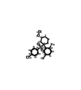 CCO[C@@H]1CCC[C@](c2cc(F)ccc2F)(S(=O)(=O)c2ccc(Cl)cc2)C1